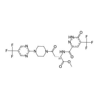 COC(=O)[C@H](CC(=O)N1CCN(c2ncc(C(F)(F)F)cn2)CC1)NC(=O)c1cc(C(F)(F)F)c(=O)[nH]n1